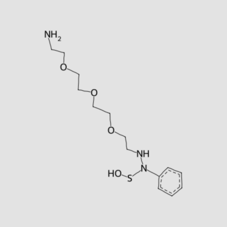 NCCOCCOCCOCCNN(SO)c1ccccc1